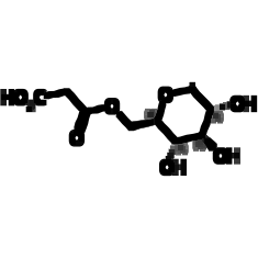 O=C(O)CC(=O)OC[C@H]1O[CH][C@H](O)[C@@H](O)[C@@H]1O